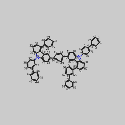 c1ccc(-c2ccc(-n3c4ccc(-c5ccc(-c6ccc7c(c6)c6c(-c8ccccc8)cccc6n7-c6cccc(-c7ccccc7)c6)cc5)cc4c4c(-c5cccc(-c6ccccc6)c5)cccc43)cc2)cc1